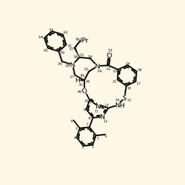 Cc1cccc(C)c1-c1cc2nc(n1)NSc1cccc(c1)C(=O)N1C[C@@H](CN(Cc3ccccc3)[C@@H](CC(C)C)C1)O2